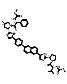 COC(=O)N[C@H](C(=O)N1CCC[C@H]1c1ncc(-c2ccc3cc(-c4ccc(-c5cnc([C@@H]6C[C@@H](C)CN6C(=O)[C@H](NC(=O)OC)c6ccccc6)[nH]5)cc4)ccc3c2)[nH]1)C(C)C